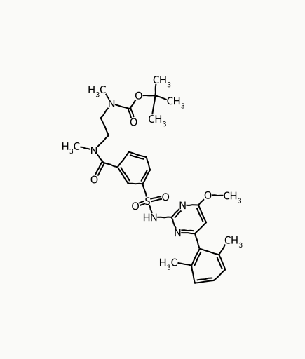 COc1cc(-c2c(C)cccc2C)nc(NS(=O)(=O)c2cccc(C(=O)N(C)CCN(C)C(=O)OC(C)(C)C)c2)n1